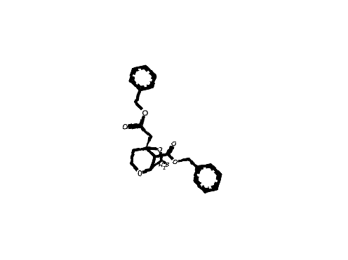 B[C@@H]1O[C@@]2(CC(=O)OCc3ccccc3)CCOC1C2C(=O)OCc1ccccc1